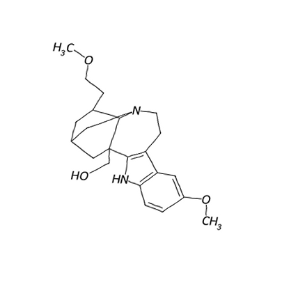 COCCC1CC2CN3CCc4c([nH]c5ccc(OC)cc45)C(CO)(C2)C13